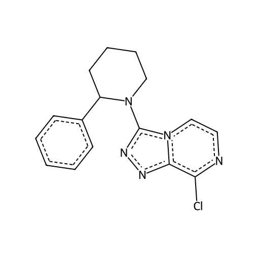 Clc1nccn2c(N3CCCCC3c3ccccc3)nnc12